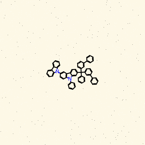 c1ccc(-c2cccc(C(c3ccccc3)(c3cccc(-c4ccccc4)c3)c3ccc4c5cc(-n6c7ccccc7c7ccccc76)ccc5n(-c5ccccc5)c4c3)c2)cc1